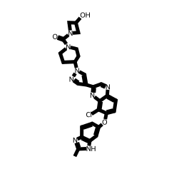 Cc1nc2ccc(Oc3ccc4ncc(-c5cnn(C6CCN(C(=O)N7CC(O)C7)CC6)c5)nc4c3Cl)cc2[nH]1